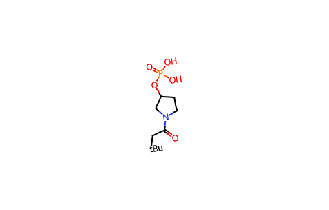 CC(C)(C)CC(=O)N1CCC(OP(=O)(O)O)C1